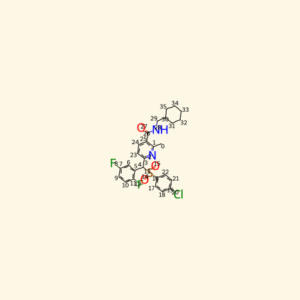 Cc1nc(C(c2cc(F)ccc2F)S(=O)(=O)c2ccc(Cl)cc2)ccc1C(=O)NCC1CCCCC1